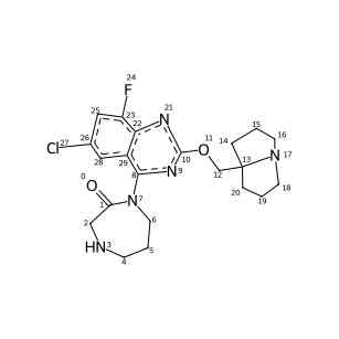 O=C1CNCCCN1c1nc(OCC23CCCN2CCC3)nc2c(F)cc(Cl)cc12